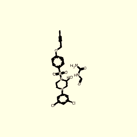 CC#CCOc1ccc(S(=O)(=O)N2CCN(c3cc(Cl)cc(Cl)c3)CC2O)cc1.NC(=O)NC=O